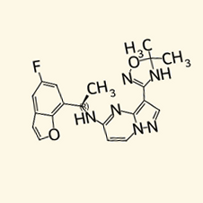 C[C@@H](Nc1ccn2ncc(C3=NOC(C)(C)N3)c2n1)c1cc(F)cc2ccoc12